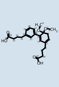 COC1(OC)CC=C(CCCC(=O)O)C=C1c1cccc(CCCC(=O)O)c1